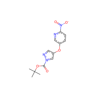 CC(C)(C)OC(=O)n1cc(Oc2ccc([N+](=O)[O-])nc2)cn1